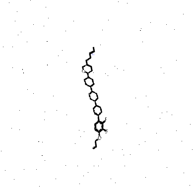 C/C=C/CCC1CCC(C2CCC(C3CCC(C4CCC(c5ccc(OCCC)c(F)c5F)CC4)CC3)CC2)OC1